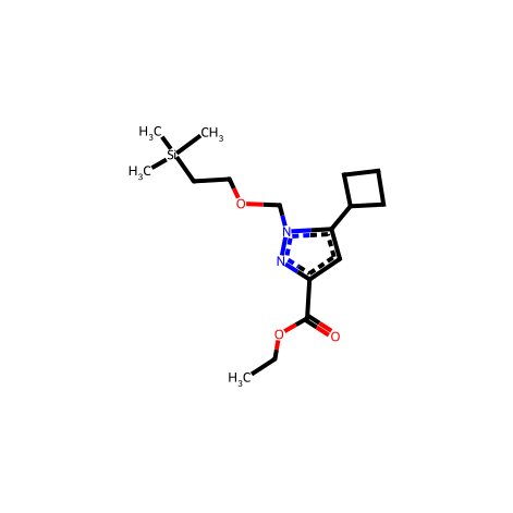 CCOC(=O)c1cc(C2CCC2)n(COCC[Si](C)(C)C)n1